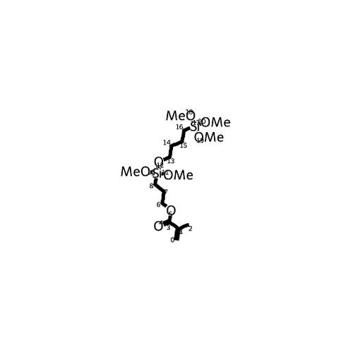 C=C(C)C(=O)OCCC[Si](OC)(OC)OCCCC[Si](OC)(OC)OC